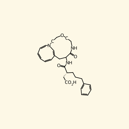 O=C(O)C[C@@H](CCCc1ccccc1)C(=O)NC1Cc2ccccccn(c2)CCOCCNC1=O